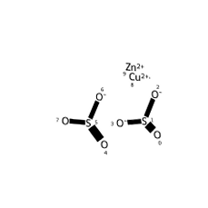 O=S([O-])[O-].O=S([O-])[O-].[Cu+2].[Zn+2]